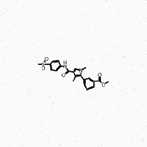 COC(=O)c1cccc(-c2c(C)c(C(=O)Nc3ccc(S(C)(=O)=O)cc3)cn2C)c1